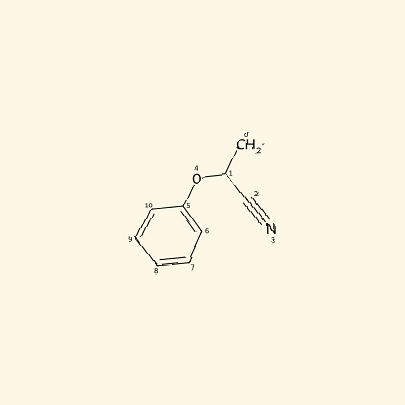 [CH2]C(C#N)Oc1ccccc1